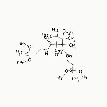 CCCO[Si](C)(CCNC(=O)C1(C)C(C)(C(=O)O)C(C)(C(=O)O)C1(C)C(=O)NCC[Si](C)(OCCC)OCCC)OCCC